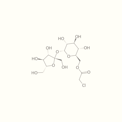 O=C(CCl)OC[C@H]1O[C@H](O[C@]2(CO)O[C@H](CO)[C@@H](O)[C@@H]2O)[C@H](O)[C@@H](O)[C@@H]1O